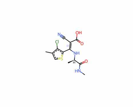 CNC(=O)[C@@H](C)N/C(=C(/C#N)C(=O)O)c1scc(C)c1Cl